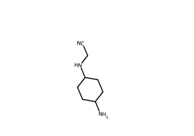 N#CCNC1CCC(N)CC1